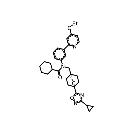 CCOc1ccnc(-c2cccc(N(CC34CCC(c5nc(C6CC6)no5)(CC3)CC4)C(=O)C3CCCCC3)c2)c1